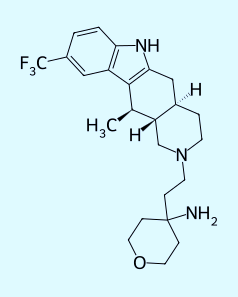 C[C@H]1c2c([nH]c3ccc(C(F)(F)F)cc23)C[C@H]2CCN(CCC3(N)CCOCC3)C[C@@H]21